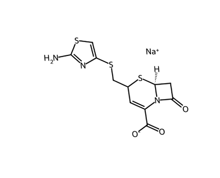 Nc1nc(SCC2C=C(C(=O)[O-])N3C(=O)C[C@@H]3S2)cs1.[Na+]